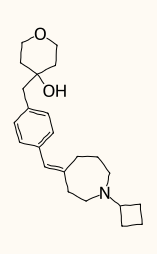 OC1(Cc2ccc(/C=C3\CCCN(C4CCC4)CC3)cc2)CCOCC1